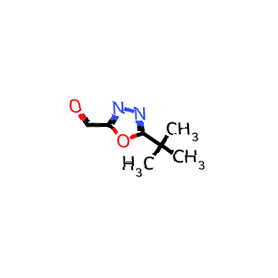 CC(C)(C)c1nnc(C=O)o1